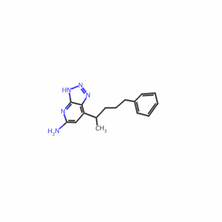 CC(CCCc1ccccc1)c1cc(N)nc2[nH]nnc12